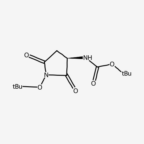 CC(C)(C)OC(=O)N[C@@H]1CC(=O)N(OC(C)(C)C)C1=O